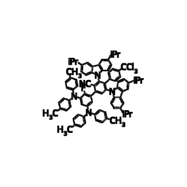 Cc1ccc(N(c2ccc(C)cc2)c2cc(-c3cc(-n4c5ccc(C(C)C)cc5c5cc(C(C)C)ccc54)c(-c4ccc(C(Cl)(Cl)Cl)cc4)c(-n4c5ccc(C(C)C)cc5c5cc(C(C)C)ccc54)c3C#N)c(F)c(N(c3ccc(C)cc3)c3ccc(C)cc3)c2)cc1